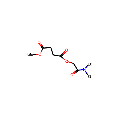 CCN(CC)C(=O)COC(=O)CCC(=O)OC(C)(C)C